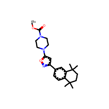 CC(C)(C)OC(=O)N1CCN(c2cc(-c3ccc4c(c3)C(C)(C)CCC4(C)C)no2)CC1